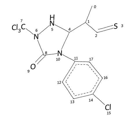 CC(C=S)C1NN(C(Cl)(Cl)Cl)C(=O)N1c1ccc(Cl)cc1